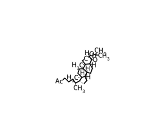 CC(=O)CCC[C@@H](C)[C@H]1CC[C@H]2[C@@H]3CC[C@H]4[C@H]5OC(C)(C)O[C@H]5CC[C@]4(C)[C@H]3CC[C@]12C